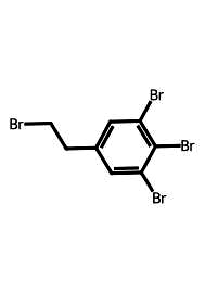 BrCCc1cc(Br)c(Br)c(Br)c1